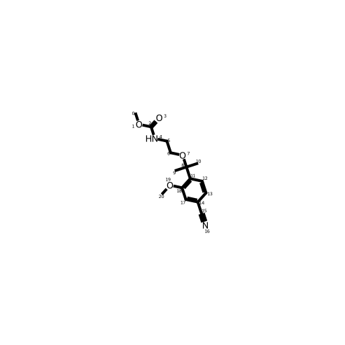 COC(=O)NCCOC(C)(C)c1ccc(C#N)cc1OC